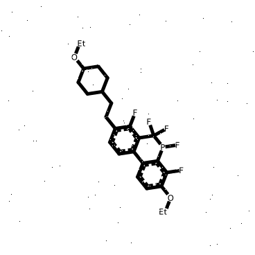 CCOc1ccc2c(c1F)P(F)C(F)(F)c1c-2ccc(CCC2CCC(OCC)CC2)c1F